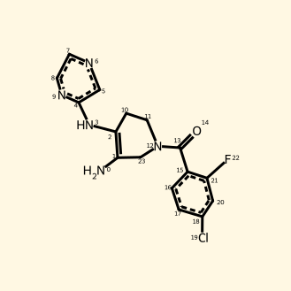 NC1=C(Nc2cnccn2)CCN(C(=O)c2ccc(Cl)cc2F)C1